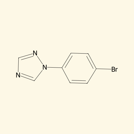 Brc1ccc(-n2cncn2)cc1